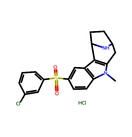 Cl.Cn1c2c(c3cc(S(=O)(=O)c4cccc(Cl)c4)ccc31)C1CCC(C2)N1